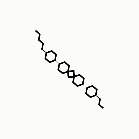 CCCCC[C@H]1CC[C@H](C2CCC3(CC2)CC2(CCC([C@H]4CC[C@H](CCC)CC4)CC2)C3)CC1